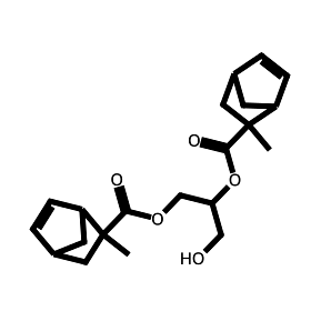 CC1(C(=O)OCC(CO)OC(=O)C2(C)CC3C=CC2C3)CC2C=CC1C2